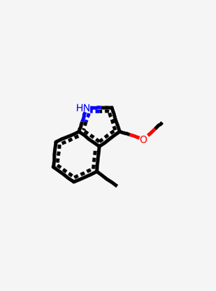 COc1c[nH]c2cccc(C)c12